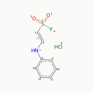 Cl.O=S(=O)(F)/C=C/Nc1ccccc1